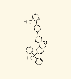 Cc1cccnc1-c1ccc(-c2ccc3c(c2)OCc2cc4c(cc2-3)C(C)(c2ccccc2)c2ccccc2-4)cc1